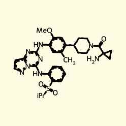 COc1cc(C2CCN(C(=O)C3(N)CC3)CC2)c(C)cc1Nc1nc(Nc2ccccc2S(=O)(=O)C(C)C)n2nccc2n1